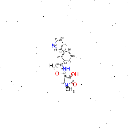 C[C@@H](NC(=O)C1=C(O)C(=O)N(C)C1)c1cccc(-c2cccnc2)c1